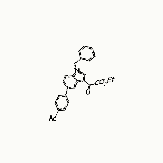 CCOC(=O)C(=O)c1cn(Cc2ccccc2)c2ccc(-c3ccc(C(C)=O)cc3)cc12